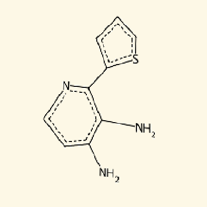 Nc1ccnc(-c2cccs2)c1N